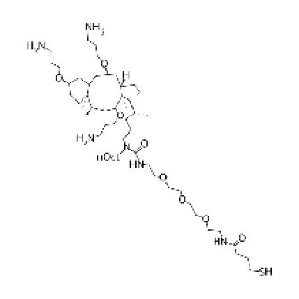 CCCCCCCCN(CCC[C@@H](C)[C@H]1CC[C@H]2C[C@H](OCCCN)CC3C[C@H](OCCCN)CC[C@]3(C)[C@H](C)C[C@H](OCCCN)[C@@]21C)C(=O)NCCOCCOCCOCCNC(=O)CCCS